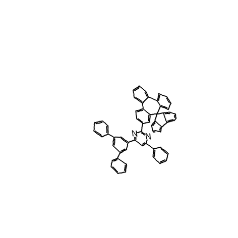 c1ccc(-c2cc(-c3ccccc3)cc(-c3cc(-c4ccccc4)nc(-c4ccc5c(c4)C4(c6ccccc6-c6ccccc6-5)c5ccccc5-c5ccccc54)n3)c2)cc1